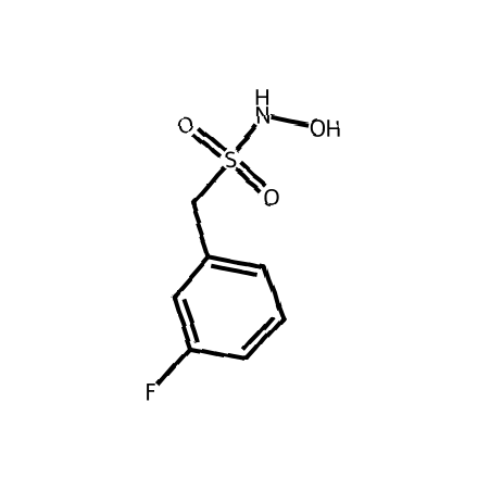 O=S(=O)(Cc1cccc(F)c1)NO